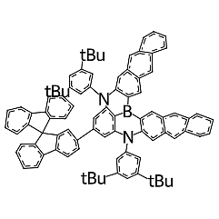 CC(C)(C)c1cc(N2c3cc4cc5ccccc5cc4cc3B3c4cc5cc6ccccc6cc5cc4N(c4cc(C(C)(C)C)cc(C(C)(C)C)c4)c4cc(-c5ccc6c(c5)C5(c7ccccc7-c7ccccc75)c5ccccc5-6)cc2c43)cc(C(C)(C)C)c1